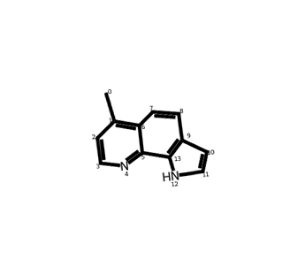 Cc1ccnc2c1ccc1cc[nH]c12